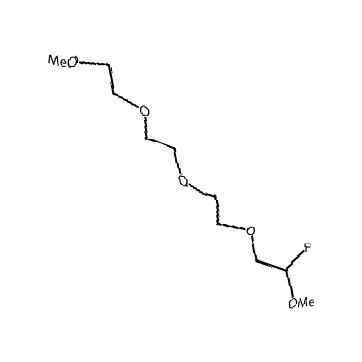 COCCOCCOCCOCC(F)OC